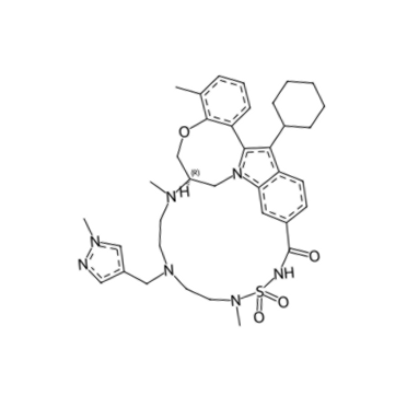 Cc1cccc2c1OC[C@H]1Cn3c-2c(C2CCCCC2)c2ccc(cc23)C(=O)NS(=O)(=O)N(C)CCN(Cc2cnn(C)c2)CCN1C